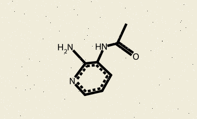 CC(=O)Nc1cccnc1N